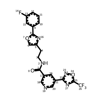 O=C(NCCc1coc(-c2cccc(F)c2)n1)c1cncc(-c2noc(C(F)(F)F)n2)c1